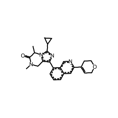 CC1C(=O)N(C)Cc2c(-c3cccc4cc(C5=CCOCC5)ncc34)nc(C3CC3)n21